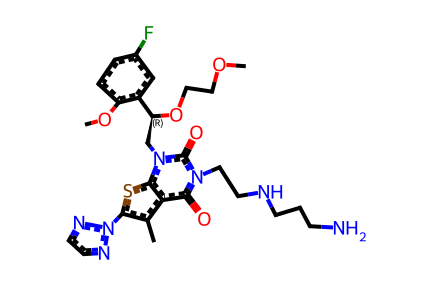 COCCO[C@@H](Cn1c(=O)n(CCNCCCN)c(=O)c2c(C)c(-n3nccn3)sc21)c1cc(F)ccc1OC